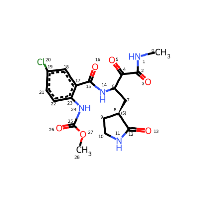 CNC(=O)C(=O)C(C[C@@H]1CCNC1=O)NC(=O)c1cc(Cl)ccc1NC(=O)OC